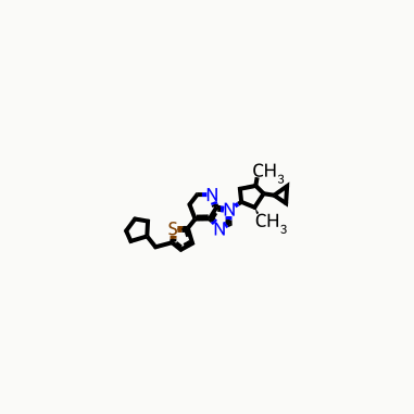 CC1CC(n2cnc3c2=NCCC=3c2ccc(CC3CCCC3)s2)[C@@H](C)C1C1CC1